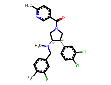 Cc1ccc(C(=O)N2C[C@H](c3ccc(Cl)c(Cl)c3)[C@H](N(C)Cc3ccc(C(F)(F)F)c(F)c3)C2)cn1